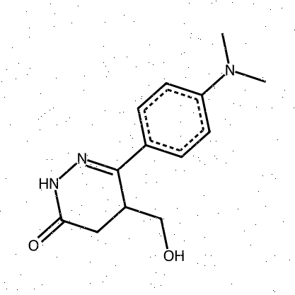 CN(C)c1ccc(C2=NNC(=O)CC2CO)cc1